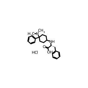 CN(C)C1(c2ccccc2)CCC(N[C@H](Cc2ccccc2)C(=O)O)CC1.Cl